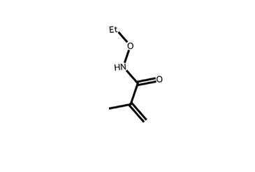 C=C(C)C(=O)NOCC